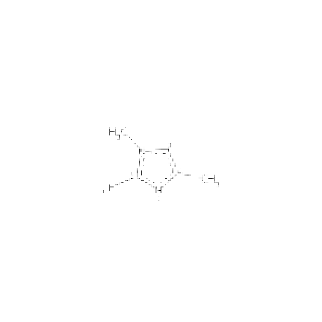 Cc1cn(C)c(F)n1